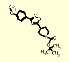 COc1ccc(-c2noc(C3CCN(C(=O)OC(C)(C)C)CC3)n2)cc1